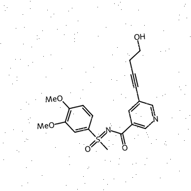 COc1ccc(S(C)(=O)=NC(=O)c2cncc(C#CCCO)c2)cc1OC